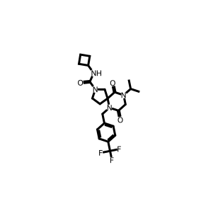 CC(C)N1CC(=O)N(Cc2ccc(C(F)(F)F)cc2)C2(CCN(C(=O)NC3CCC3)C2)C1=O